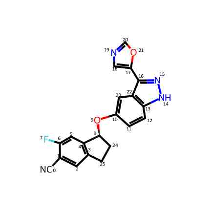 N#Cc1cc2c(cc1F)[C@@H](Oc1ccc3[nH]nc(-c4cnco4)c3c1)CC2